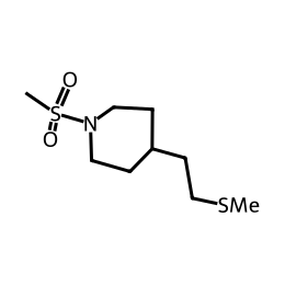 CSCCC1CCN(S(C)(=O)=O)CC1